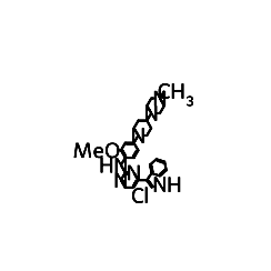 COc1cc(N2CCC(N3CCN(C)CC3)CC2)ccc1Nc1ncc(Cl)c(-c2c[nH]c3ccccc23)n1